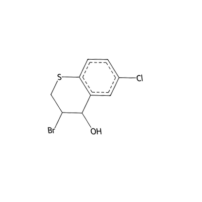 OC1c2cc(Cl)ccc2SCC1Br